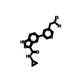 CCN(CC)Cc1cncc(-c2ccc3[nH]nc(C(=O)NC4CC4)c3c2)c1